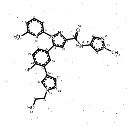 Cc1cccc(-n2nc(C(=O)Nc3cnn(C)c3)cc2-c2ccc(F)c(-c3cnn(CCO)c3)c2)n1